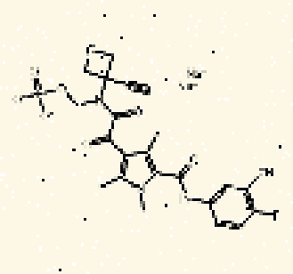 C#CC1(N(COP(=O)([O-])[O-])C(=O)C(=O)c2c(C)c(C(=O)Nc3ccc(F)c(C#N)c3)n(C)c2C)COC1.[Na+].[Na+]